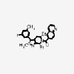 CC[C@H]1Cc2c(nn(C)c2-c2cc(C)cc(F)c2)[C@@H](CC)N1C(=O)c1ccc2ncccc2c1